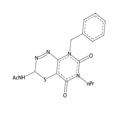 CCCn1c(=O)c2c(n(Cc3ccccc3)c1=O)N=NC(NC(C)=O)S2